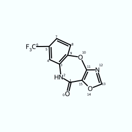 O=C1Nc2cc(C(F)(F)F)ccc2Oc2ncoc21